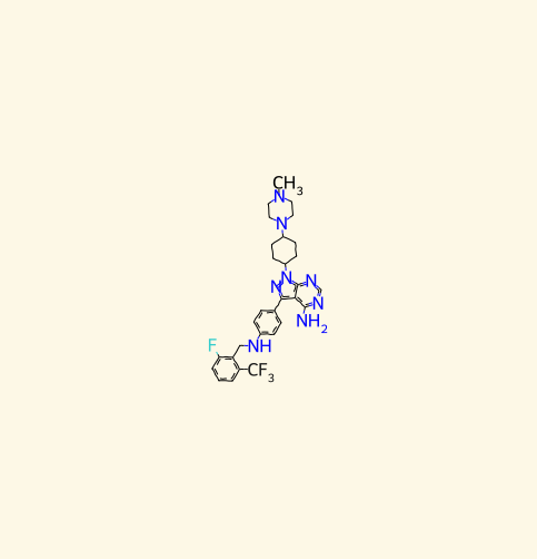 CN1CCN(C2CCC(n3nc(-c4ccc(NCc5c(F)cccc5C(F)(F)F)cc4)c4c(N)ncnc43)CC2)CC1